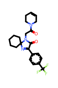 O=C(CN1C(=O)C(c2ccc(C(F)(F)F)cc2)=NC12CCCCC2)N1CC=CCC1